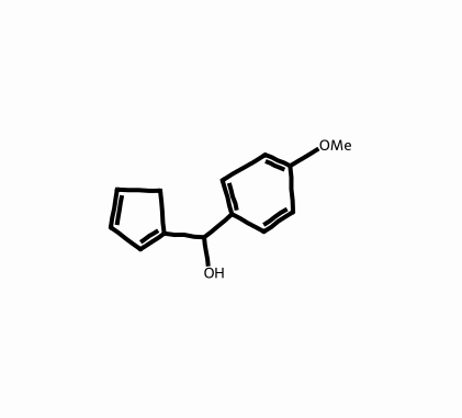 COc1ccc(C(O)C2=CC=CC2)cc1